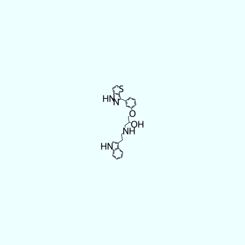 OC(CNCCc1c[nH]c2ccccc12)COc1cccc(-c2n[nH]c3ccsc23)c1